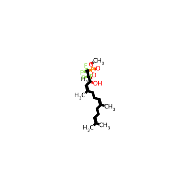 COP(=O)(OC)C(F)(F)C(F)(F)C(O)C=C(C)CCC=C(C)CCC=C(C)C